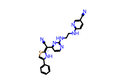 N#C/C(=C1/NC(c2ccccc2)=CS1)c1ccnc(NCCNc2ccc(C#N)cn2)n1